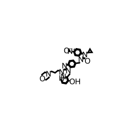 [C-]#[N+]c1ccc2c(c1)n(Cc1ccc3nc(NCCCN4CCOCC4)n(Cc4ncccc4O)c3c1)c(=O)n2C1CC1